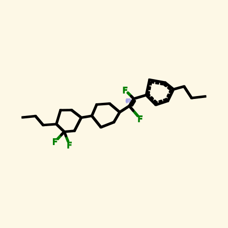 CCCc1ccc(/C(F)=C(\F)C2CCC(C3CCC(CCC)C(F)(F)C3)CC2)cc1